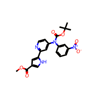 COC(=O)c1c[nH]c(-c2cc(N(C(=O)OC(C)(C)C)c3cccc([N+](=O)[O-])c3)ccn2)c1